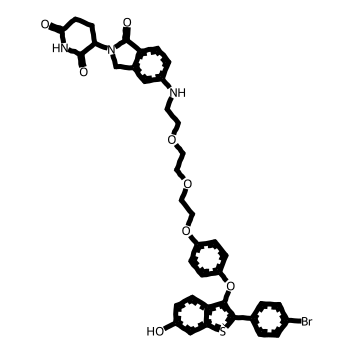 O=C1CCC(N2Cc3cc(NCCOCCOCCOc4ccc(Oc5c(-c6ccc(Br)cc6)sc6cc(O)ccc56)cc4)ccc3C2=O)C(=O)N1